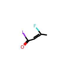 C/C(F)=C/C(=O)I